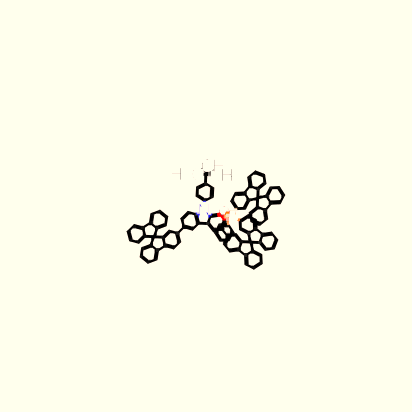 CC(C)(C)c1ccc(-n2c3ccc(-c4ccc5c(c4)C4(c6ccccc6-c6ccccc64)c4ccccc4-5)cc3c3cc(-c4ccc5c(c4)C4(c6ccccc6-5)c5ccccc5-c5ccc(P(=O)(c6ccccc6)c6ccc7c(c6)C6(c8ccccc8-c8ccccc86)c6ccccc6-7)cc54)ccc32)cc1